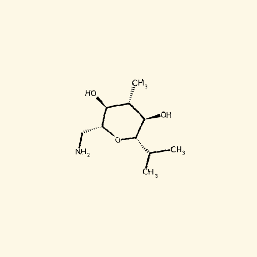 CC(C)[C@@H]1O[C@H](CN)[C@@H](O)[C@H](C)[C@H]1O